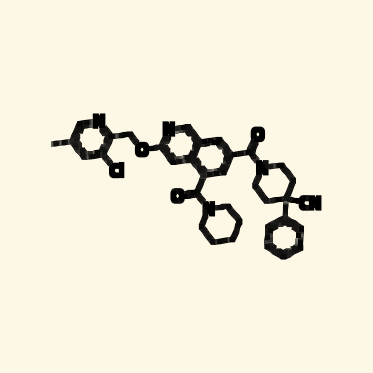 Cc1cnc(COc2cc3c(C(=O)N4CCCCC4)cc(C(=O)N4CCC(C#N)(c5ccccc5)CC4)cc3cn2)c(Cl)c1